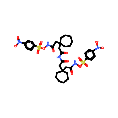 O=C(CC1(CC(=O)NC(=O)CC2(CC(=O)NOS(=O)(=O)c3ccc([N+](=O)[O-])cc3)CCCCCC2)CCCCCC1)NOS(=O)(=O)c1ccc([N+](=O)[O-])cc1